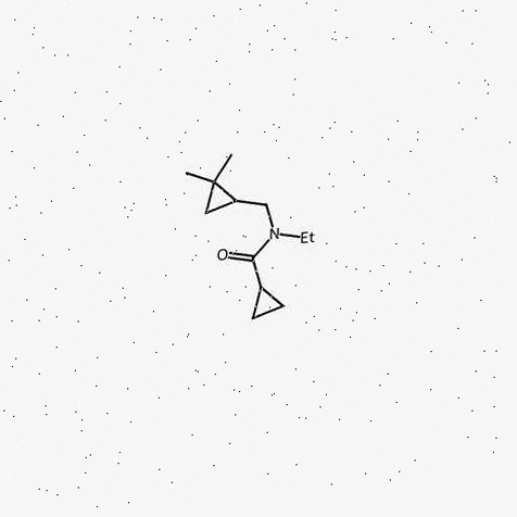 CCN(CC1CC1(C)C)C(=O)C1CC1